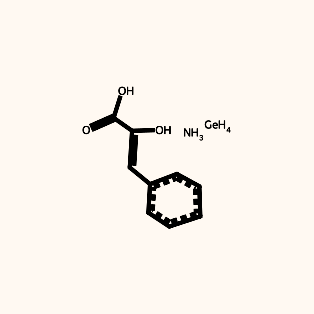 N.O=C(O)C(O)=Cc1ccccc1.[GeH4]